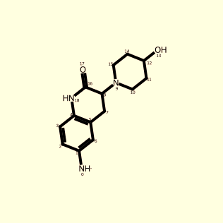 [NH]c1ccc2c(c1)CC(N1CCC(O)CC1)C(=O)N2